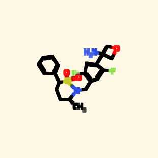 C[C@H]1CCC(c2ccccc2)S(=O)(=O)N1Cc1cc(F)c(C2(N)COC2)cc1F